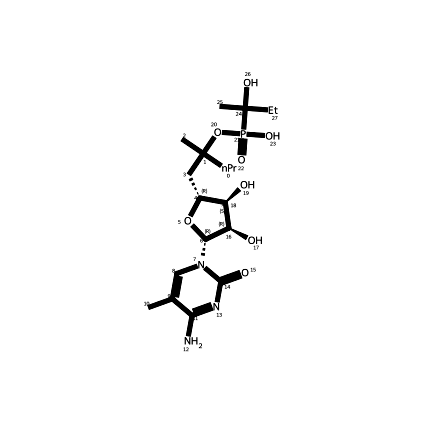 CCCC(C)(C[C@H]1O[C@@H](n2cc(C)c(N)nc2=O)[C@H](O)[C@@H]1O)OP(=O)(O)C(C)(O)CC